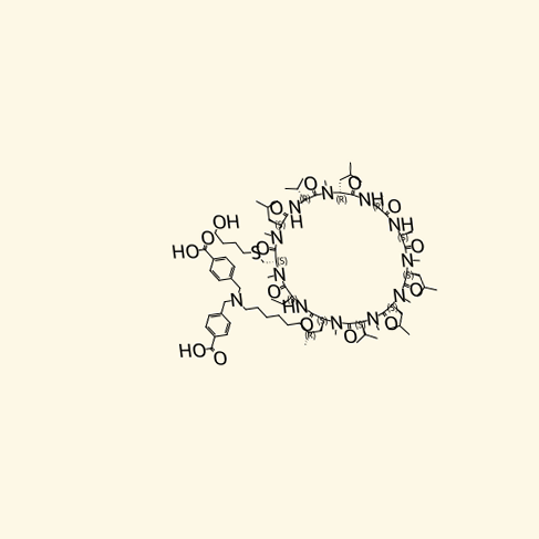 CC[C@@H]1NC(=O)[C@H](C[C@H](C)CCCCCCN(Cc2ccc(C(=O)O)cc2)Cc2ccc(C(=O)O)cc2)N(C)C(=O)[C@H](C(C)C)N(C)C(=O)[C@H](CC(C)C)N(C)C(=O)[C@H](CC(C)C)N(C)C(=O)[C@H](C)NC(=O)[C@@H](C)NC(=O)[C@@H](CC(C)C)N(C)C(=O)[C@@H](C(C)C)NC(=O)[C@H](CC(C)C)N(C)C(=O)[C@@H](CSCCCCO)N(C)C1=O